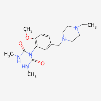 CCN1CCN(Cc2ccc(OC)c(N(C(=O)NC)C(=O)NC)c2)CC1